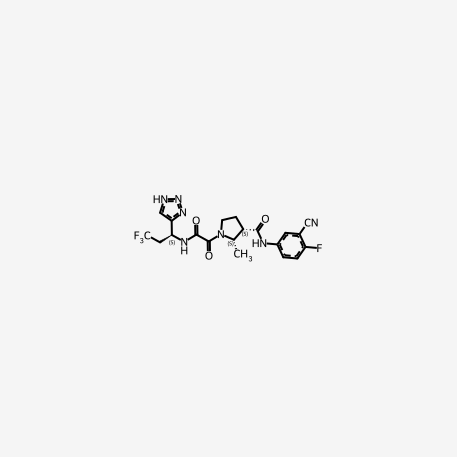 C[C@H]1[C@@H](C(=O)Nc2ccc(F)c(C#N)c2)CCN1C(=O)C(=O)N[C@@H](CC(F)(F)F)c1c[nH]nn1